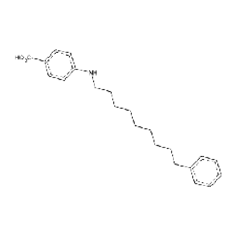 O=C(O)c1ccc(NCCCCCCCCCc2ccccc2)cc1